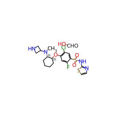 CN(C1CNC1)[C@H]1CCCC[C@@H]1Oc1cc(F)c(S(=O)(=O)Nc2nccs2)cc1Cl.O=CO